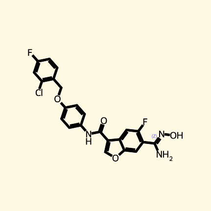 N/C(=N\O)c1cc2occ(C(=O)Nc3ccc(OCc4ccc(F)cc4Cl)cc3)c2cc1F